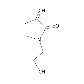 C=C1CCN(CCC)C1=O